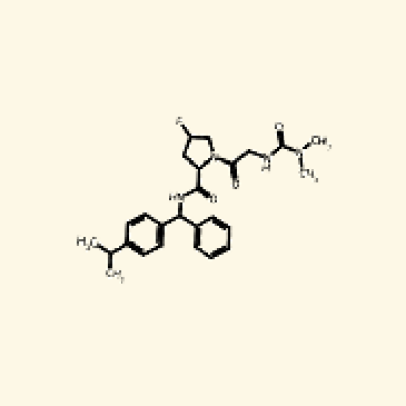 CC(C)c1ccc(C(NC(=O)C2CC(F)CN2C(=O)CNC(=O)N(C)C)c2ccccc2)cc1